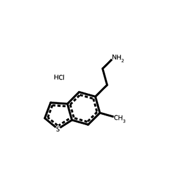 Cc1cc2sccc2cc1CCN.Cl